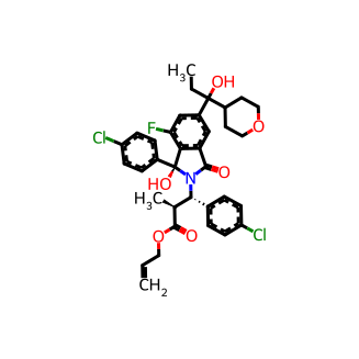 C=CCOC(=O)[C@@H](C)[C@@H](c1ccc(Cl)cc1)N1C(=O)c2cc(C(O)(CC)C3CCOCC3)cc(F)c2[C@@]1(O)c1ccc(Cl)cc1